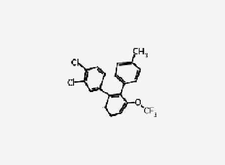 Cc1ccc(C2=C(c3ccc(Cl)c(Cl)c3)[CH]CC=C2OC(F)(F)F)cc1